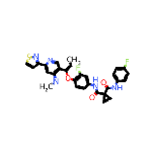 C=Nc1cc(-c2ccsn2)ncc1/C(=C\C)Oc1ccc(NC(=O)C2(C(=O)Nc3ccc(F)cc3)CC2)cc1F